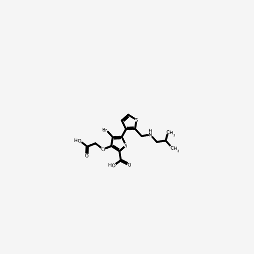 CC(C)CNCc1sccc1-c1sc(C(=O)O)c(OCC(=O)O)c1Br